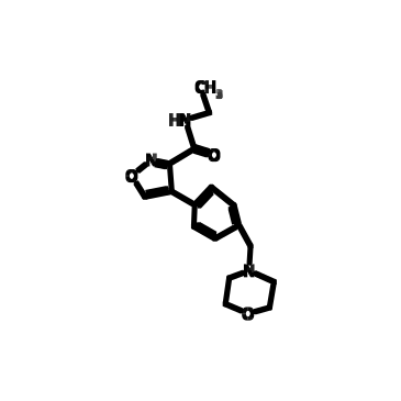 CCNC(=O)c1nocc1-c1ccc(CN2CCOCC2)cc1